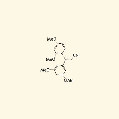 COc1cc(OC)cc(C(=CC#N)c2ccc(OC)cc2OC)c1